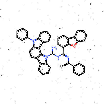 C=C(/N=C(\NC(N)n1c2ccccc2c2ccc3c(c4ccccc4n3-c3ccccc3)c21)c1cccc2c1oc1ccccc12)c1ccccc1